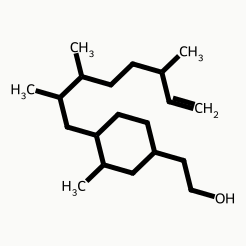 C=CC(C)CCC(C)C(C)CC1CCC(CCO)CC1C